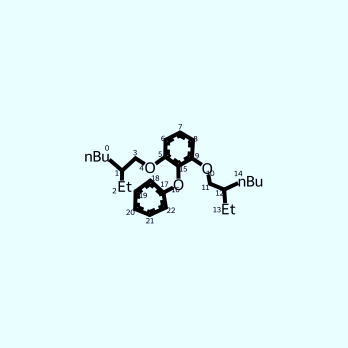 CCCCC(CC)COc1cccc(OCC(CC)CCCC)c1Oc1ccccc1